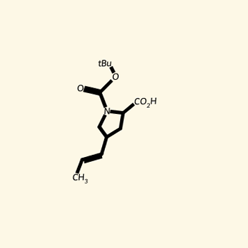 CC=CC1CC(C(=O)O)N(C(=O)OC(C)(C)C)C1